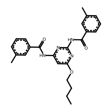 CCCCOc1cc(NC(=O)c2cccc(C)c2)nc(NC(=O)c2cccc(C)c2)n1